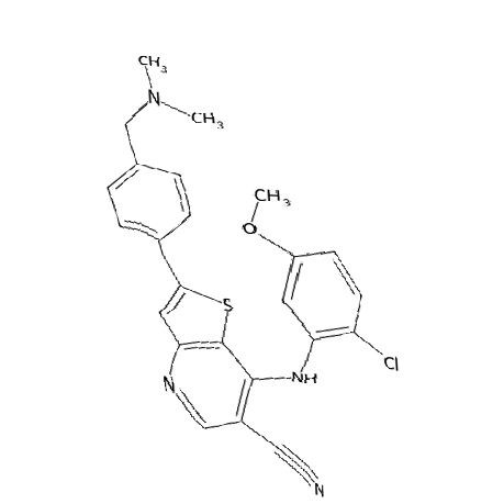 COc1ccc(Cl)c(Nc2c(C#N)cnc3cc(-c4ccc(CN(C)C)cc4)sc23)c1